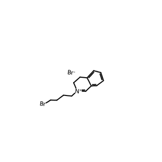 BrCCCC[N+]1=Cc2ccccc2CC1.[Br-]